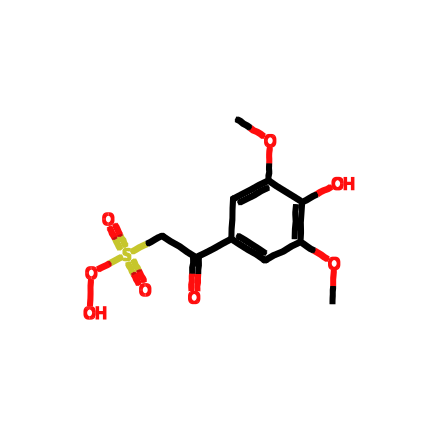 COc1cc(C(=O)CS(=O)(=O)OO)cc(OC)c1O